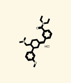 CCN(CC)C(=O)c1cccc(/C=C2\CCC(CN(C)C)C(c3cccc(OC)c3)C2)c1.Cl